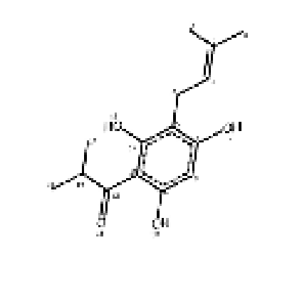 CC(C)=CCc1c(O)cc(O)c(C(=O)C(C)C)c1O